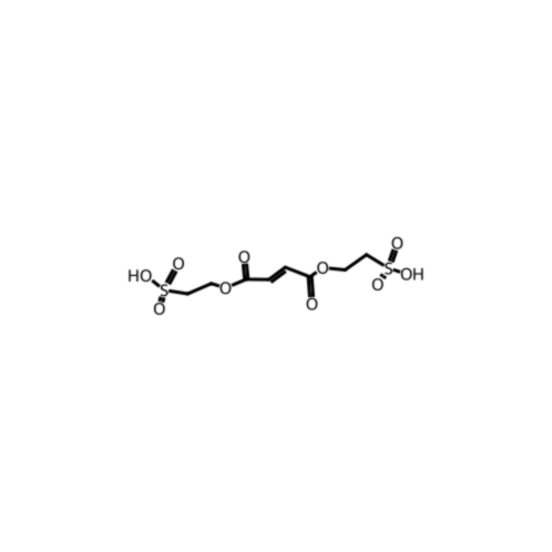 O=C(C=CC(=O)OCCS(=O)(=O)O)OCCS(=O)(=O)O